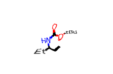 C=CC(CC)NC(=O)OC(C)(C)C